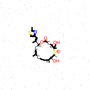 C/C1=C/C[C@@H](/C(C)=C/c2csc(C)n2)OC(=O)C[C@@H](O)C(C)(C)[S+]([O-])[C@H](C)[C@@H](O)[C@@H](C)CCC1